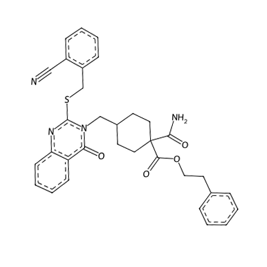 N#Cc1ccccc1CSc1nc2ccccc2c(=O)n1CC1CCC(C(N)=O)(C(=O)OCCc2ccccc2)CC1